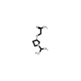 CC(=O)CO[C@H]1CCN(C(C)C)C1